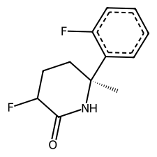 C[C@@]1(c2ccccc2F)CCC(F)C(=O)N1